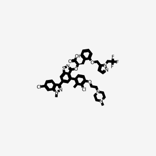 Cc1c(-c2cc(-c3nn(C)c4cc(Cl)ccc34)cc3snc(O[C@H](Cc4ccccc4OCc4ccnn4CC(F)(F)F)C(=O)O)c23)ccc(OCCN2CCN(C)CC2)c1Cl